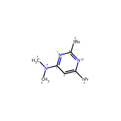 CCCc1cc(N(C)C)nc(C(C)(C)C)n1